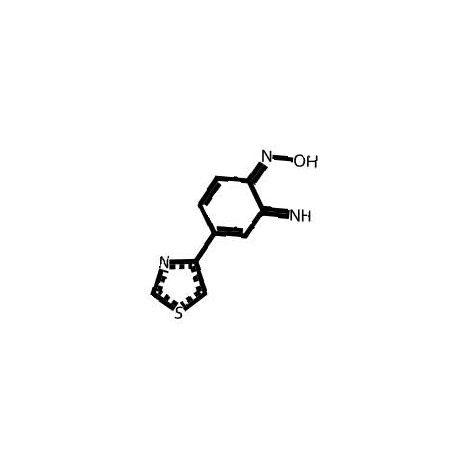 N=C1C=C(c2cscn2)C=C/C1=N/O